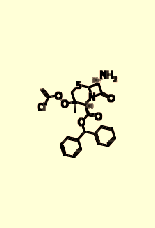 C=C(Cl)OOC1(C)CSC2[C@H](N)C(=O)N2[C@H]1C(=O)OC(c1ccccc1)c1ccccc1